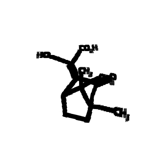 CC12CCC(/C(=C(\O)C(=O)O)C1=O)C2(C)C